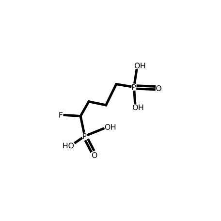 O=P(O)(O)CCCC(F)P(=O)(O)O